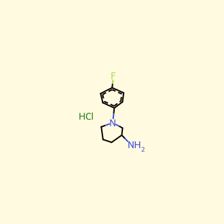 Cl.NC1CCCN(c2ccc(F)cc2)C1